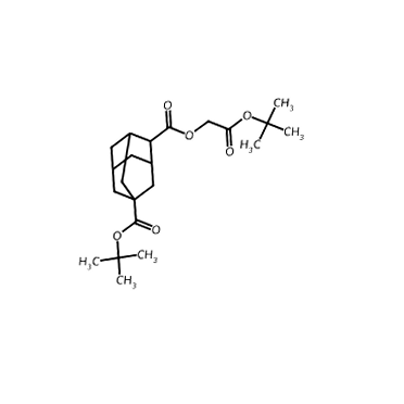 CC(C)(C)OC(=O)COC(=O)C1C2CC3CC1CC(C(=O)OC(C)(C)C)(C3)C2